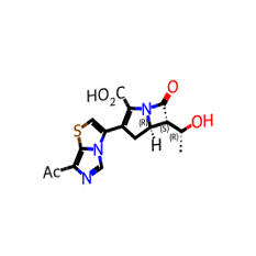 CC(=O)c1ncn2c(C3=C(C(=O)O)N4C(=O)[C@H]([C@@H](C)O)[C@H]4C3)csc12